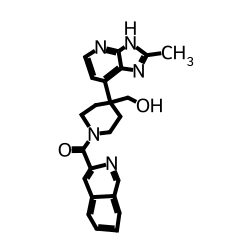 Cc1nc2c(C3(CO)CCN(C(=O)c4cc5ccccc5cn4)CC3)ccnc2[nH]1